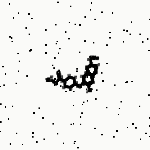 CSc1ncc2cc(Br)c(OC3CCN(C(=O)OC(C)(C)C)CC3)cc2n1